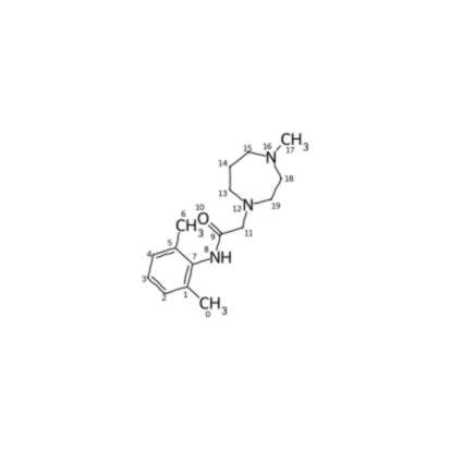 Cc1cccc(C)c1NC(=O)CN1CCCN(C)CC1